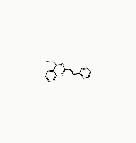 CCC(OC(=O)C=Cc1ccccc1)c1ccccc1